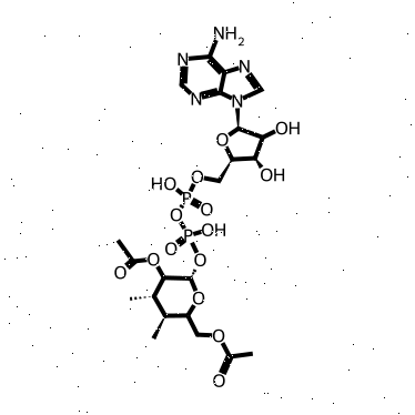 CC(=O)OCC1O[C@@H](OP(=O)(O)OP(=O)(O)OC[C@H]2O[C@@H](n3cnc4c(N)ncnc43)C(O)[C@H]2O)C(OC(C)=O)[C@@H](C)[C@@H]1C